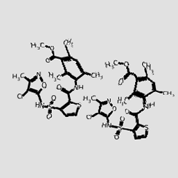 COC(=O)c1c(C)cc(C)c(NC(=O)c2sccc2S(=O)(=O)Nc2onc(C)c2Cl)c1C.COC(=O)c1c(C)cc(C)c(NC(=O)c2sccc2S(=O)(=O)Nc2onc(C)c2Cl)c1C